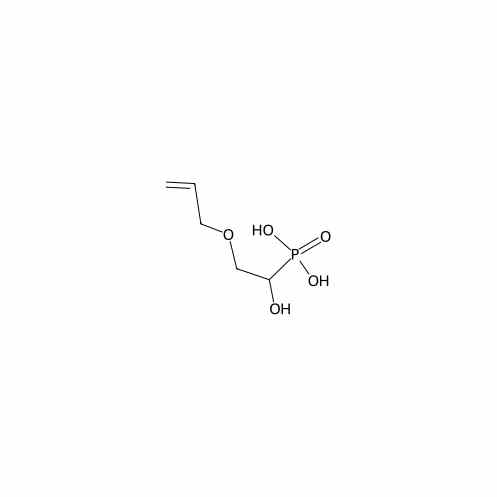 C=CCOCC(O)P(=O)(O)O